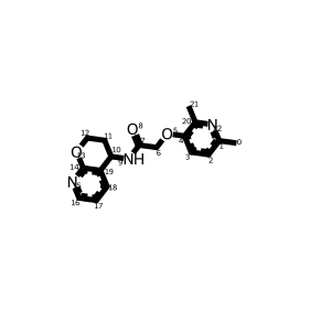 Cc1ccc(OCC(=O)NC2CCOc3ncccc32)c(C)n1